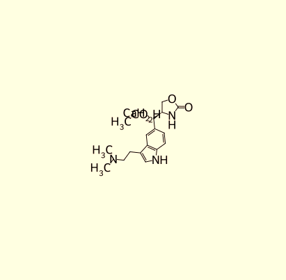 CC(=O)O.CN(C)CCc1c[nH]c2ccc(C[C@H]3COC(=O)N3)cc12.[CaH2]